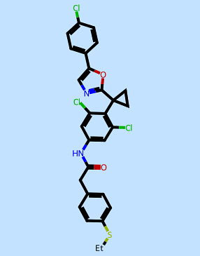 CCSc1ccc(CC(=O)Nc2cc(Cl)c(C3(c4ncc(-c5ccc(Cl)cc5)o4)CC3)c(Cl)c2)cc1